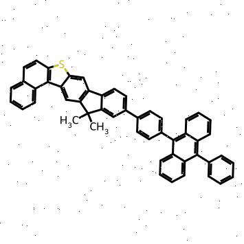 CC1(C)c2cc(-c3ccc(-c4c5ccccc5c(-c5ccccc5)c5ccccc45)cc3)ccc2-c2cc3sc4ccc5ccccc5c4c3cc21